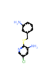 Nc1cccc(CSc2ncc(Cl)cc2N)c1